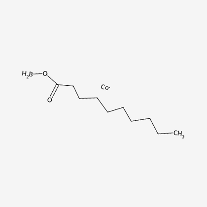 BOC(=O)CCCCCCCCC.[Co]